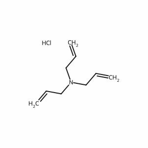 C=CCN(CC=C)CC=C.Cl